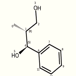 C[C@H](CO)[C@H](O)c1ccccc1